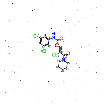 O=C(Nc1cc(Cl)cc(Cl)c1)ON=C(Cl)C(=O)N1CCCCC1